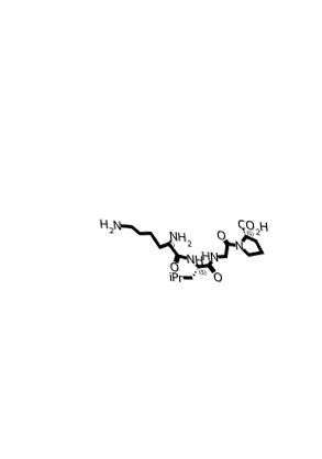 CC(C)C[C@H](NC(=O)[C@@H](N)CCCCN)C(=O)NCC(=O)N1CCC[C@H]1C(=O)O